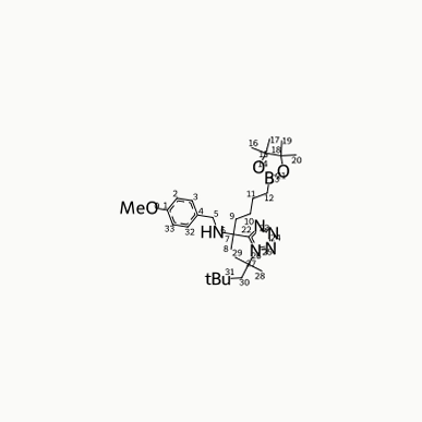 COc1ccc(CNC(C)(CCCCB2OC(C)(C)C(C)(C)O2)c2nnnn2C(C)(C)CC(C)(C)C)cc1